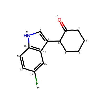 O=C1CCCCC1c1c[nH]c2ccc(F)cc12